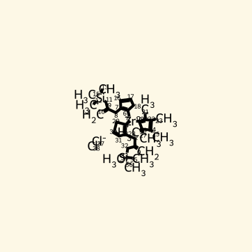 C=C(CC1=[C]([Zr+2]([C]2=C(CC(=C)C[Si](C)(C)C)C=CC2)[C]2=C(C)C(C)=C(C)C2(C)C)CC=C1)C[Si](C)(C)C.[Cl-].[Cl-]